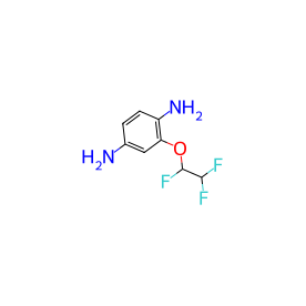 Nc1ccc(N)c(OC(F)C(F)F)c1